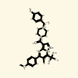 COc1ccc(-c2nc3c(C(=O)N4CCN([C@@H](C)c5ccc(F)cc5)CC4)cnn3c(C(F)(F)F)c2C)cc1